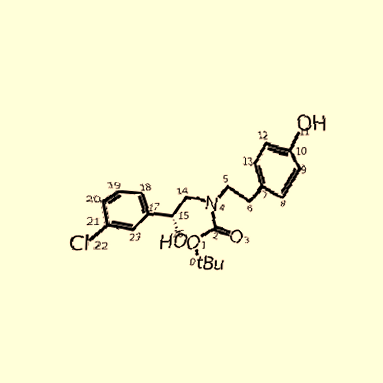 CC(C)(C)OC(=O)N(CCc1ccc(O)cc1)C[C@H](O)c1cccc(Cl)c1